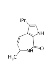 CC1C=Cc2c(C(C)C)c[nH]c2C(=O)N1